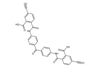 C#Cc1ccc(C(=O)Nc2ccc(C(=O)c3ccc(NC(=O)c4ccc(C#C)cc4C(=O)O)cc3)cc2)c(C(=O)O)c1